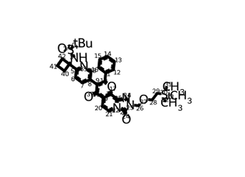 CC(C)(C)[S+]([O-])NC1(c2ccc(-c3c(-c4ccccc4)oc4c(ccn5c(=O)n(COCC[Si](C)(C)C)nc45)c3=O)cn2)CCC1